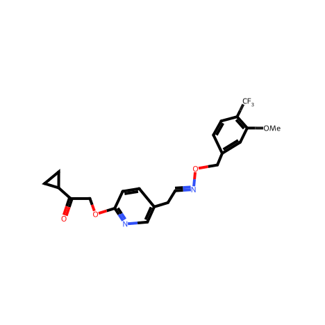 COc1cc(CON=CCc2ccc(OCC(=O)C3CC3)nc2)ccc1C(F)(F)F